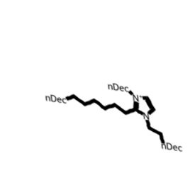 CCCCCCCCCCCCCCCCc1n(CCCCCCCCCCCC)cc[n+]1CCCCCCCCCC